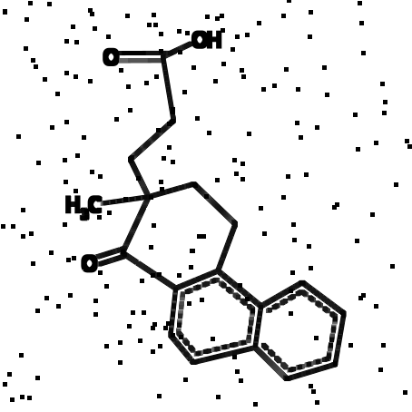 CC1(CCC(=O)O)CCc2c(ccc3ccccc23)C1=O